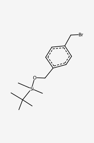 CC(C)(C)[Si](C)(C)OCc1ccc(CBr)cc1